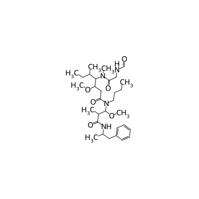 CCCCN(C(=O)CC(OC)C(C(C)CC)N(C)C(=O)CNC=O)C(OC)C(C)C(=O)NC(C)Cc1ccccc1